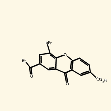 CCCc1cc(C(=O)CC)cc2c(=O)c3cc(C(=O)O)ccc3oc12